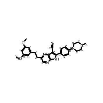 COc1cc(CCc2cnc3[nH]c(-c4ccc(N5CCN(C)CC5)cc4)c(C#N)c3n2)cc(OC)c1